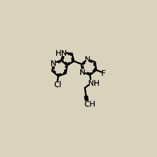 C#CCNc1nc(-c2c[nH]c3ncc(Cl)cc23)ncc1F